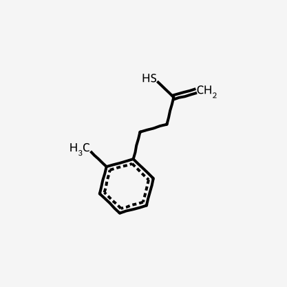 C=C(S)CCc1ccccc1C